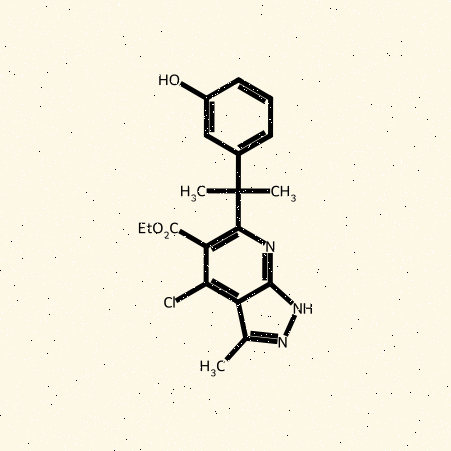 CCOC(=O)c1c(C(C)(C)c2cccc(O)c2)nc2[nH]nc(C)c2c1Cl